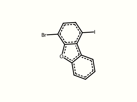 Brc1ccc(I)c2c1oc1ccccc12